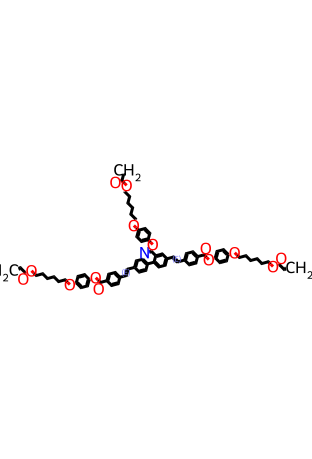 C=CC(=O)OCCCCCCOc1ccc(OC(=O)c2ccc(/C=C/c3ccc4c(c3)nc(Oc3ccc(OCCCCCCOC(=O)C=C)cc3)c3cc(/C=C/c5ccc(C(=O)Oc6ccc(OCCCCCCOC(=O)C=C)cc6)cc5)ccc34)cc2)cc1